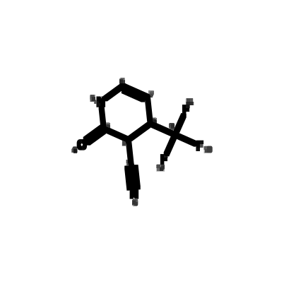 N#CC1C(=O)[N]C=CC1C(F)(F)F